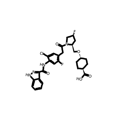 O=C(Nc1cc(F)c(CC(=O)N2C[C@@H](F)C[C@H]2CO[C@H]2CC[C@H](C(=O)O)CC2)cc1Cl)c1n[nH]c2ccccc12